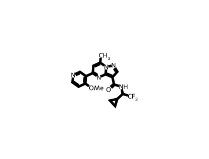 COc1ccncc1-c1cc(C)n2ncc(C(=O)NC(C3CC3)C(F)(F)F)c2n1